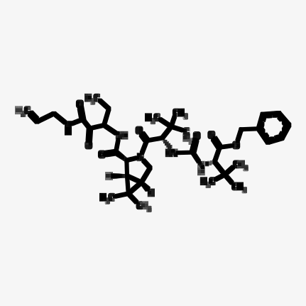 C=CCNC(=O)C(=O)C(CC)NC(=O)[C@@H]1[C@@H]2[C@H](CN1C(=O)[C@@H](NC(=O)N[C@H](C(=O)OCc1ccccc1)C(C)(C)C)C(C)(C)C)C2(C)C